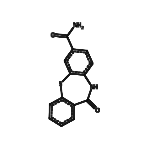 NC(=O)c1ccc2c(c1)Sc1ccccc1C(=O)N2